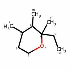 CCC1(C)OCCC(C)C1C